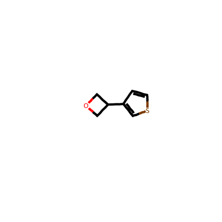 c1cc(C2COC2)cs1